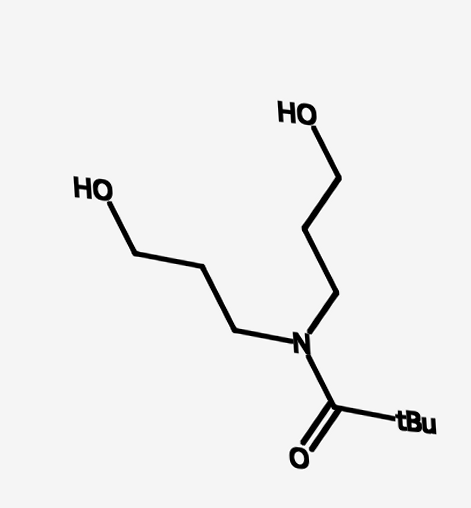 CC(C)(C)C(=O)N(CCCO)CCCO